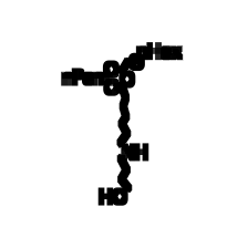 CCCCCCOCC(OCCCCC)OC(=O)CCCCCCNCCCCO